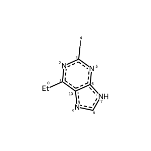 CCc1nc(I)nc2[nH]cnc12